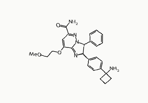 COCCOC1=CC(C(N)=O)=NN2C1=NC(c1ccc(C3(N)CCC3)cc1)C2c1ccccc1